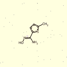 Cc1ccc(/C(N)=N/O)s1